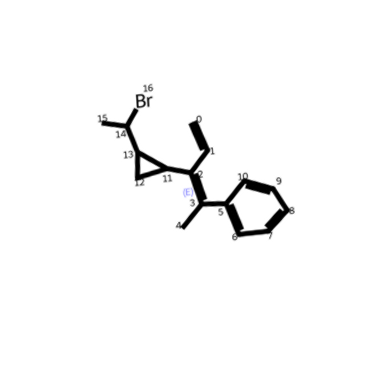 C=C/C(=C(/C)c1ccccc1)C1CC1C(C)Br